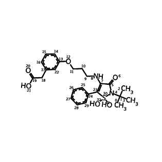 CC(C)(C)N1C(=O)C(NCCCOc2cccc(CC(=O)O)c2)=C(c2ccccc2)S1(O)O